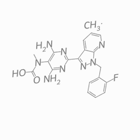 CN(C(=O)O)c1c(N)nc(-c2nn(Cc3ccccc3F)c3ncccc23)nc1N.[CH3]